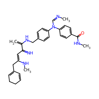 C=C(NCc1ccc(N(/C=N\C)c2ccc(C(=O)NC)cc2)cc1)C(=N)/C=C(/CC1=CCCC=C1)NC